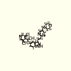 CC(Oc1ccc2[nH]nc(/C=C/c3ncc(CN4CCOCC4)cn3)c2c1)c1c(Cl)cncc1Cl